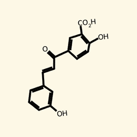 O=C(C=Cc1cccc(O)c1)c1ccc(O)c(C(=O)O)c1